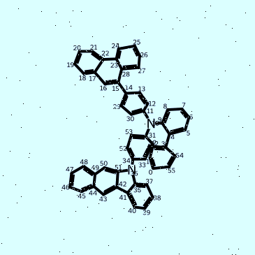 c1ccc(-c2ccccc2N(c2ccc(-c3cc4ccccc4c4ccccc34)cc2)c2ccc(-n3c4ccccc4c4cc5ccccc5cc43)cc2)cc1